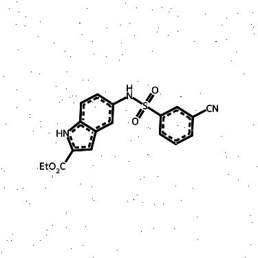 CCOC(=O)c1cc2cc(NS(=O)(=O)c3cccc(C#N)c3)ccc2[nH]1